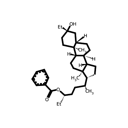 CC[C@@H](CC[C@@H](C)[C@H]1CC[C@H]2[C@@H]3CC[C@H]4C[C@](O)(CC)CC[C@]4(C)[C@H]3CC[C@]12C)OC(=O)c1ccccc1